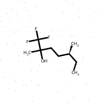 CC[C@H](C)CCC(C)(O)C(F)(F)F